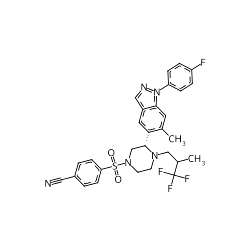 Cc1cc2c(cnn2-c2ccc(F)cc2)cc1[C@H]1CN(S(=O)(=O)c2ccc(C#N)cc2)CCN1CC(C)C(F)(F)F